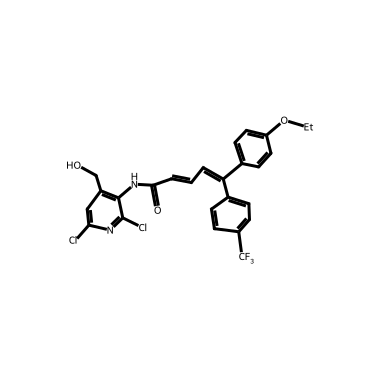 CCOc1ccc(C(=CC=CC(=O)Nc2c(CO)cc(Cl)nc2Cl)c2ccc(C(F)(F)F)cc2)cc1